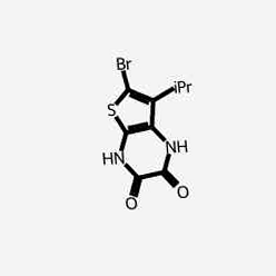 CC(C)c1c(Br)sc2[nH]c(=O)c(=O)[nH]c12